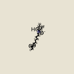 C=CC(=O)OCCCCCCC/[P+]([O-])=C(\O)C[N+](C)(C)C